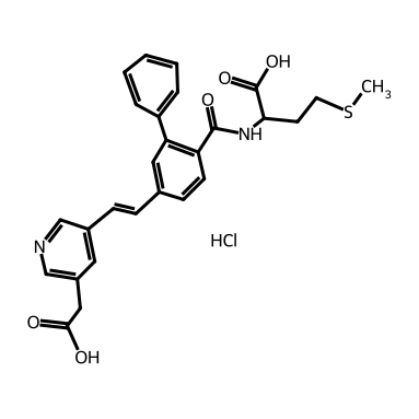 CSCCC(NC(=O)c1ccc(C=Cc2cncc(CC(=O)O)c2)cc1-c1ccccc1)C(=O)O.Cl